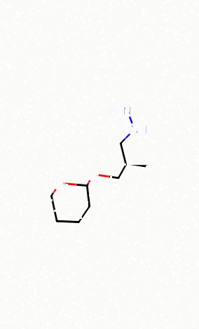 C[C@H](CNN)COC1CCCCO1